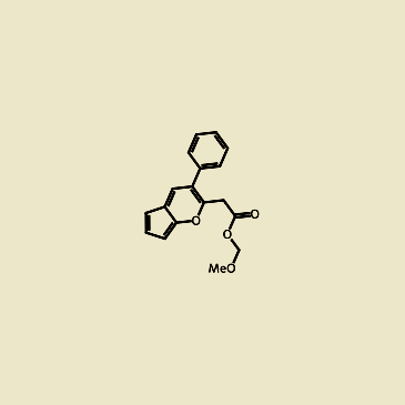 COCOC(=O)Cc1oc2cccc-2cc1-c1ccccc1